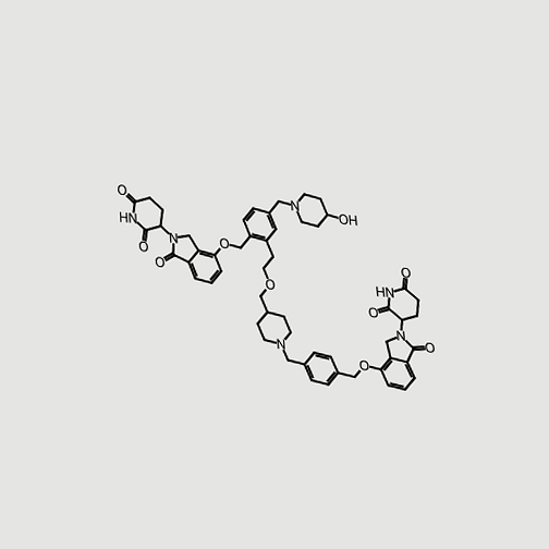 O=C1CCC(N2Cc3c(OCc4ccc(CN5CCC(COCCc6cc(CN7CCC(O)CC7)ccc6COc6cccc7c6CN(C6CCC(=O)NC6=O)C7=O)CC5)cc4)cccc3C2=O)C(=O)N1